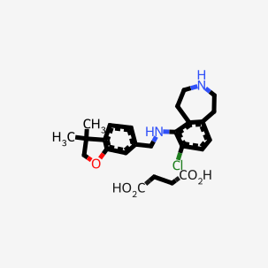 CC1(C)COc2cc(CNc3c(Cl)ccc4c3CCNCC4)ccc21.O=C(O)CCC(=O)O